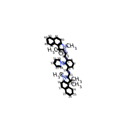 CN1/C(=C/C=C2\CCCC(/C=C/C3=[N+](C)c4ccc5c(c4C3(C)C)CCC=C5)=C2[n+]2ccccc2)C(C)(C)c2c1ccc1ccccc21